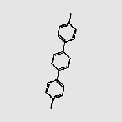 Cc1ccc(C2=CSC(c3ccc(C)cc3)=CS2)cc1